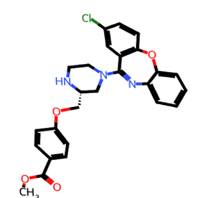 COC(=O)c1ccc(OC[C@H]2CN(C3=Nc4ccccc4Oc4ccc(Cl)cc43)CCN2)cc1